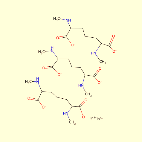 CNC(CCCC(NC)C(=O)[O-])C(=O)[O-].CNC(CCCC(NC)C(=O)[O-])C(=O)[O-].CNC(CCCC(NC)C(=O)[O-])C(=O)[O-].[In+3].[In+3]